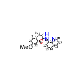 COc1ccc(C(C)CC(=O)Nc2cccc3cccnc23)cc1